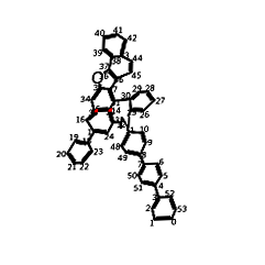 c1ccc(-c2ccc(-c3ccc(N(c4cccc(-c5ccccc5)c4)c4ccccc4-c4cccc5oc6c7ccccc7ccc6c45)cc3)cc2)cc1